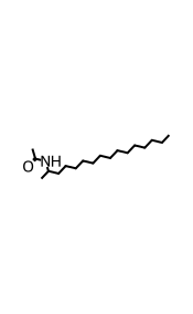 CCCCCCCCCCCCCCC(C)NC(C)=O